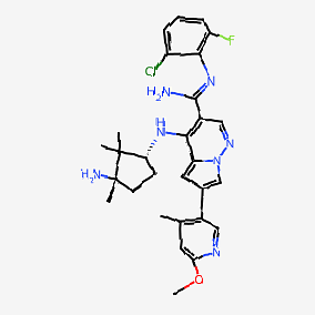 COc1cc(C)c(-c2cc3c(N[C@@H]4CC[C@](C)(N)C4(C)C)c(/C(N)=N/c4c(F)cccc4Cl)cnn3c2)cn1